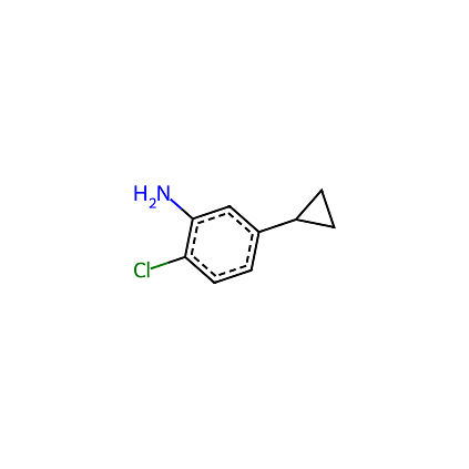 Nc1cc(C2CC2)ccc1Cl